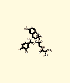 CC(=O)c1ccc2c(c1)[C@@H](NC(=O)c1ccc(F)c(Cl)c1)[C@H](OC(=O)CNC(=O)[C@@H](N)C(C)C)C(C)(C)O2